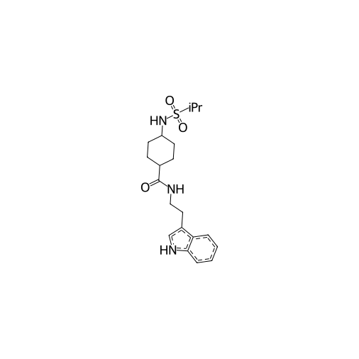 CC(C)S(=O)(=O)NC1CCC(C(=O)NCCc2c[nH]c3ccccc23)CC1